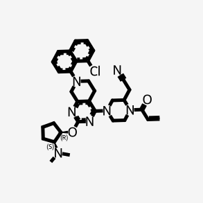 C=CC(=O)N1CCN(c2nc(O[C@@H]3CCC[C@@H]3N(C)C)nc3c2CCN(c2cccc4cccc(Cl)c24)C3)CC1CC#N